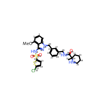 COc1cccc2c1c(NS(=O)(=O)c1ccc(Cl)s1)nn2Cc1cccc(CNC(=O)C2(C)CCCCN2)c1